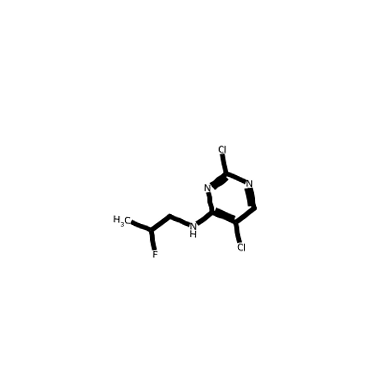 CC(F)CNc1nc(Cl)ncc1Cl